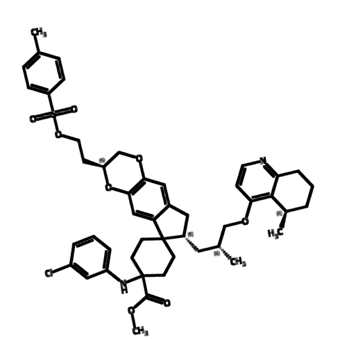 COC(=O)C1(Nc2cccc(Cl)c2)CCC2(CC1)c1cc3c(cc1C[C@@H]2C[C@@H](C)COc1ccnc2c1[C@H](C)CCC2)OC[C@H](CCOS(=O)(=O)c1ccc(C)cc1)O3